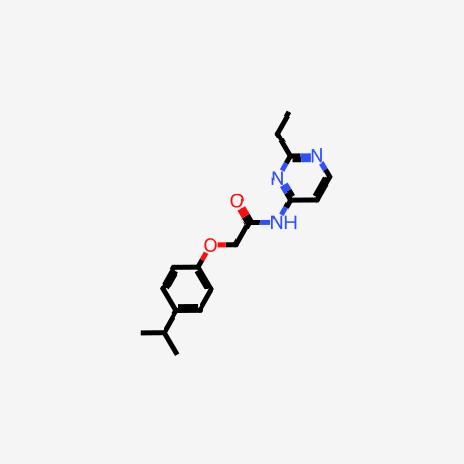 CCc1nccc(NC(=O)COc2ccc(C(C)C)cc2)n1